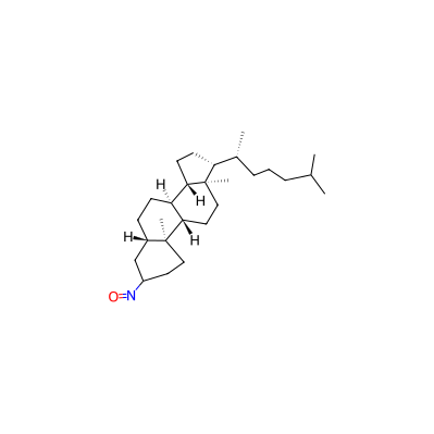 CC(C)CCC[C@@H](C)[C@H]1CC[C@H]2[C@@H]3CC[C@H]4CC(N=O)CC[C@]4(C)[C@H]3CC[C@]12C